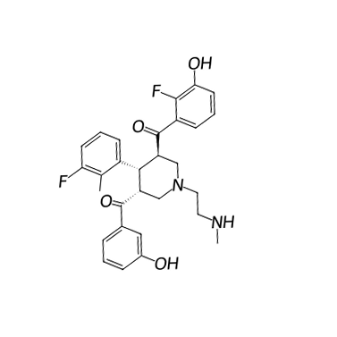 CNCCN1C[C@H](C(=O)c2cccc(O)c2)[C@H](c2cccc(F)c2C)[C@@H](C(=O)c2cccc(O)c2F)C1